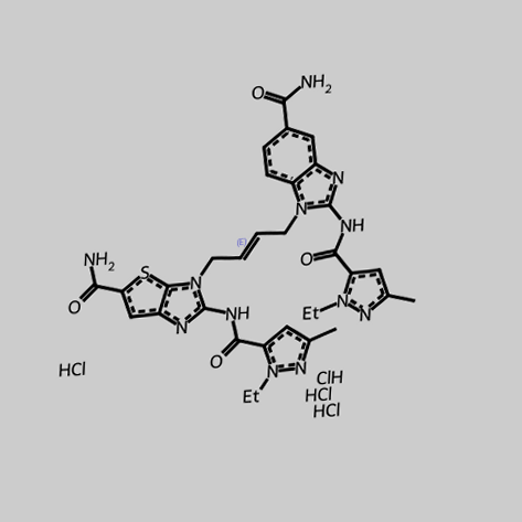 CCn1nc(C)cc1C(=O)Nc1nc2cc(C(N)=O)ccc2n1C/C=C/Cn1c(NC(=O)c2cc(C)nn2CC)nc2cc(C(N)=O)sc21.Cl.Cl.Cl.Cl